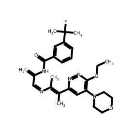 C=C(/C=N\C(C)=C(/C)c1cc(N2CCOCC2)c(OCC)nn1)NC(=O)c1cccc(C(C)(C)F)c1